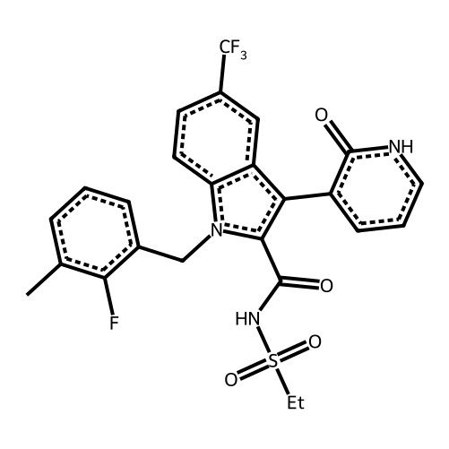 CCS(=O)(=O)NC(=O)c1c(-c2ccc[nH]c2=O)c2cc(C(F)(F)F)ccc2n1Cc1cccc(C)c1F